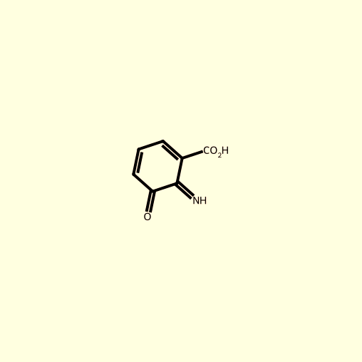 N=C1C(=O)C=CC=C1C(=O)O